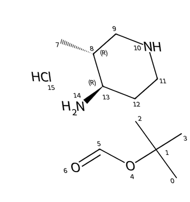 CC(C)(C)OC=O.C[C@@H]1CNCC[C@H]1N.Cl